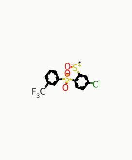 C[S+]([O-])c1cc(Cl)ccc1S(=O)(=O)c1cccc(C(F)(F)F)c1